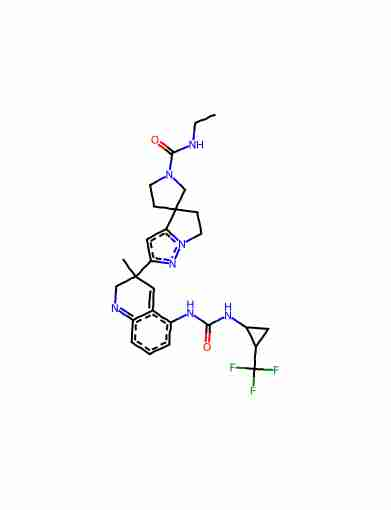 CCNC(=O)N1CCC2(CCn3nc(C4(C)C=c5c(NC(=O)NC6CC6C(F)(F)F)cccc5=NC4)cc32)C1